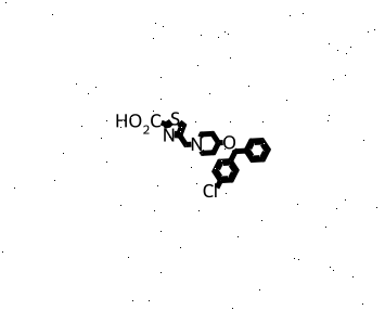 O=C(O)c1nc(CN2CCC(OC(c3ccccc3)c3ccc(Cl)cc3)CC2)cs1